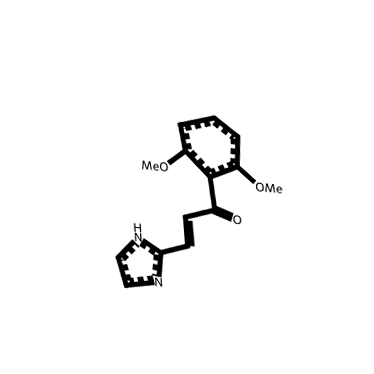 COc1cccc(OC)c1C(=O)/C=C/c1ncc[nH]1